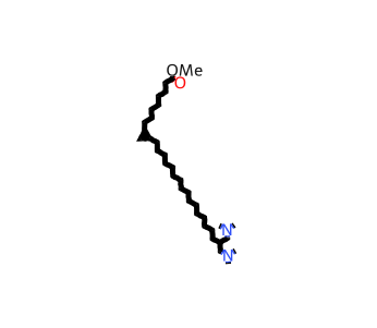 COC(=O)CCCCCCCC1CC1CCCCCCCCCCCCCCCCC(CN(C)C)CN(C)C